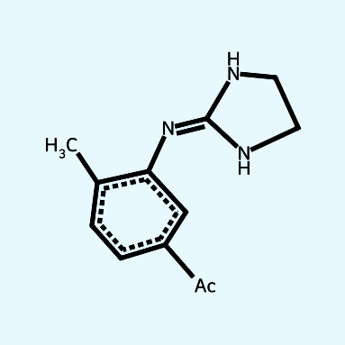 CC(=O)c1ccc(C)c(N=C2NCCN2)c1